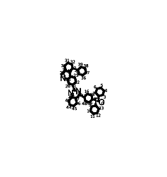 O=P(c1ccccc1)(c1ccccc1)c1ccc(-c2nc(-c3ccc4c(c3)ncc3cccc(-c5ccccc5)c34)nc3ccccc23)cc1